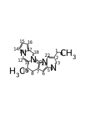 CCc1cnc2cc(CC(C)c3cn4cccc4cn3)cn2c1